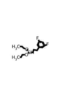 CCCO[SiH](CCCc1cc(F)cc(F)c1)OCCC